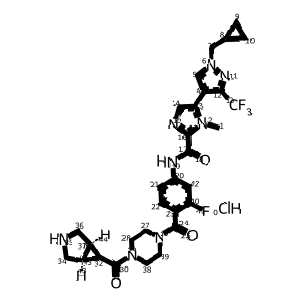 Cl.Cn1c(-c2cn(CC3CC3)nc2C(F)(F)F)cnc1C(=O)Nc1ccc(C(=O)N2CCN(C(=O)C3[C@H]4CNC[C@@H]34)CC2)c(F)c1